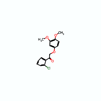 COc1ccc(OCC(=O)c2ccccc2Cl)cc1OC